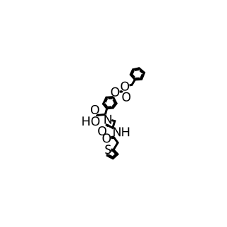 O=C(Cc1cccs1)NC1CN(C(C(=O)O)c2ccc(OC(=O)OCc3ccccc3)cc2)C1=O